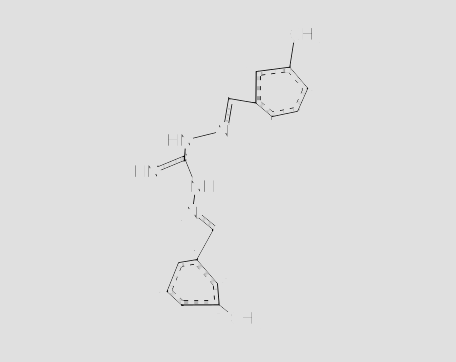 Cc1cccc(/C=N/NC(=N)N/N=C/c2cccc(C)c2)c1